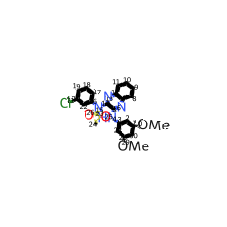 COc1cc(Nc2nc3ccccc3nc2N(c2cccc(Cl)c2)S(C)(=O)=O)cc(OC)c1